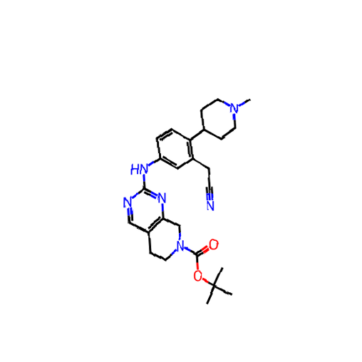 CN1CCC(c2ccc(Nc3ncc4c(n3)CN(C(=O)OC(C)(C)C)CC4)cc2CC#N)CC1